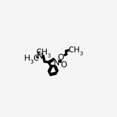 CCCOC(=O)n1cc(CCN(C)C)c2ccccc21